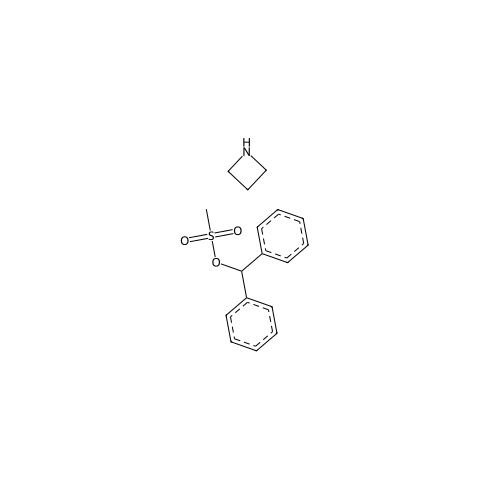 C1CNC1.CS(=O)(=O)OC(c1ccccc1)c1ccccc1